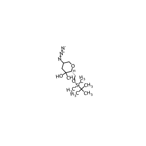 CC1(O)CC(N=[N+]=[N-])CO[C@@H]1CO[Si](C)(C)C(C)(C)C